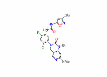 CCN1C(=O)N(c2cc(NC(=O)Nc3cc(C(C)(C)C)no3)c(F)cc2Cl)Cc2cnc(NC)cc21